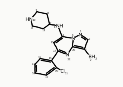 Bc1cnn2c(NC3CCNCC3)cc(-c3ccccc3Cl)nc12